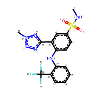 CNS(=O)(=O)c1ccc(Nc2ccccc2C(F)(F)F)c(-c2nnn(C)n2)c1